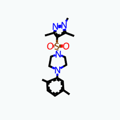 Cc1ccc(C)c(N2CCN(S(=O)(=O)c3c(C)nn(C)c3C)CC2)c1